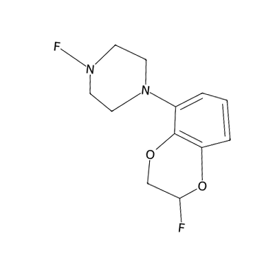 FC1COc2c(cccc2N2CCN(F)CC2)O1